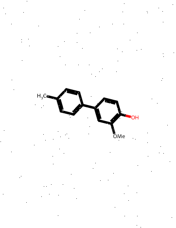 COc1cc(-c2ccc(C)cc2)ccc1O